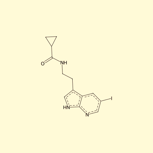 O=C(NCCc1c[nH]c2ncc(I)cc12)C1CC1